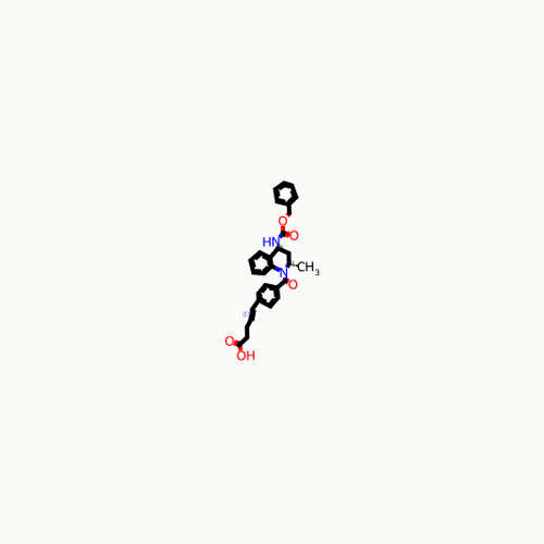 C[C@H]1C[C@@H](NC(=O)OCc2ccccc2)c2ccccc2N1C(=O)c1ccc(/C=C/CCC(=O)O)cc1